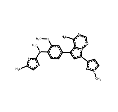 COc1cc(-c2cc(-c3ccn(C)n3)n3ncnc(N)c23)ccc1N(C)c1ncc(C)s1